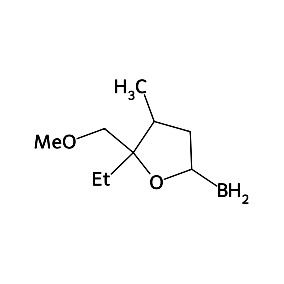 BC1CC(C)C(CC)(COC)O1